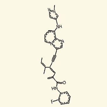 C=C(/C=C(C#Cc1cnc2c(Nc3cnn(C)c3)cccn12)\C(C)=C/C)C(=O)Nc1ccccc1F